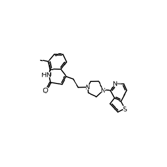 Cc1cccc2c(CCN3CCN(c4nccc5sccc45)CC3)cc(=O)[nH]c12